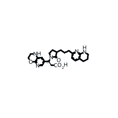 O=C(O)C[C@@H](c1cnc2c(c1)NCCO2)N1CCC(CCCc2ccc3c(n2)NCCC3)C1=O